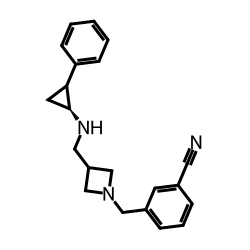 N#Cc1cccc(CN2CC(CN[C@H]3CC3c3ccccc3)C2)c1